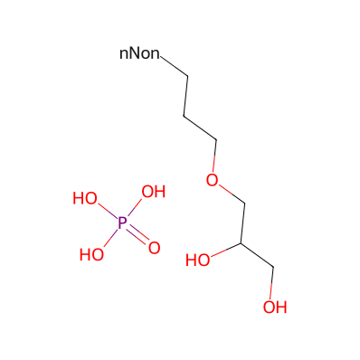 CCCCCCCCCCCCOCC(O)CO.O=P(O)(O)O